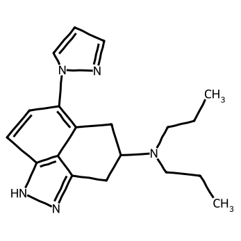 CCCN(CCC)C1Cc2n[nH]c3ccc(-n4cccn4)c(c23)C1